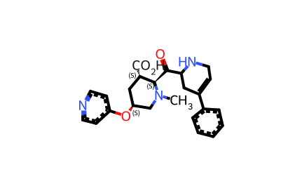 CN1C[C@@H](Oc2ccncc2)C[C@H](C(=O)O)[C@H]1C(=O)C1CC(c2ccccc2)=CCN1